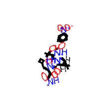 CNC(=O)C(=O)C(CC1CCC1)NC(=O)[C@@H]1[C@@H]2[C@H](CN1C(=O)[C@@H](NC(=O)Oc1ccc([N+](=O)[O-])cc1)C(C)(C)C)C2(C)C